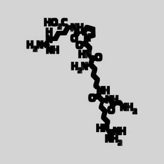 N=C(N)NCCCC[C@H](NC(=O)CN)C(=O)NCCCC[C@H](N)C(=O)NCC(=O)N1CC=C[C@H]1C(=O)N[C@@H](CCCNC(=N)N)C(=O)O